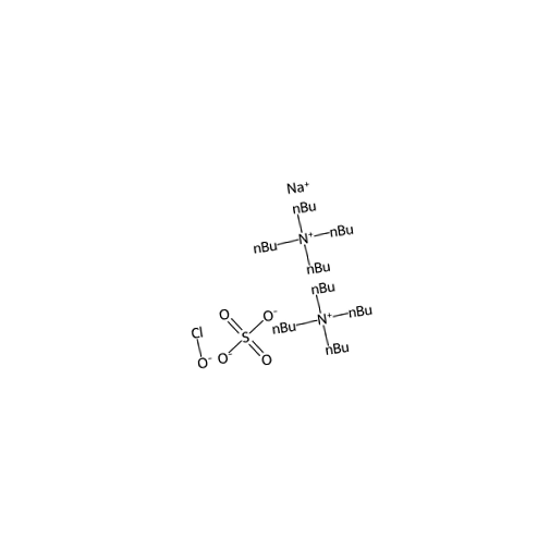 CCCC[N+](CCCC)(CCCC)CCCC.CCCC[N+](CCCC)(CCCC)CCCC.O=S(=O)([O-])[O-].[Na+].[O-]Cl